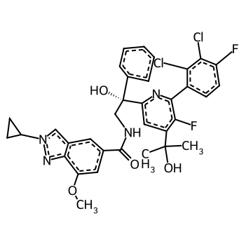 COc1cc(C(=O)NC[C@@](O)(c2ccccc2)c2cc(C(C)(C)O)c(F)c(-c3ccc(F)c(Cl)c3Cl)n2)cc2cn(C3CC3)nc12